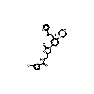 O=C(Nc1cc(N2CC(CNC(=O)c3ccc(Cl)s3)OC2=O)ccc1N1CCOCC1)c1ccco1